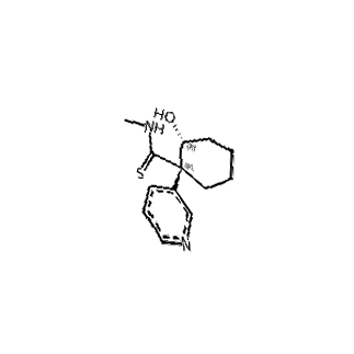 CNC(=S)[C@@]1(c2cccnc2)CCCC[C@H]1O